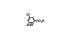 O=S(=O)(O)c1cccc(Cl)c1.[NaH]